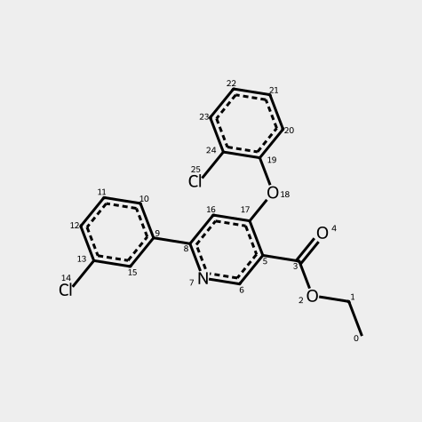 CCOC(=O)c1cnc(-c2cccc(Cl)c2)cc1Oc1ccccc1Cl